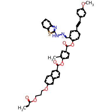 C=CC(=O)OCCCOc1ccc2cc(C(=O)Oc3ccc(C(=O)Oc4ccc(C#Cc5ccc(OC)cc5)cc4/C=N/Nc4nc5ccccc5s4)cc3C)ccc2c1